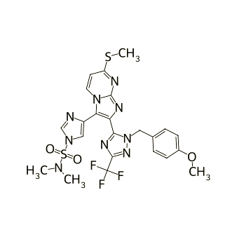 COc1ccc(Cn2nc(C(F)(F)F)nc2-c2nc3nc(SC)ccn3c2-c2cn(S(=O)(=O)N(C)C)cn2)cc1